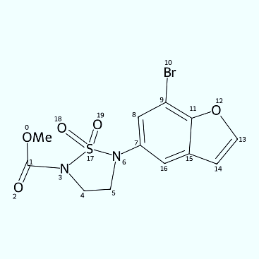 COC(=O)N1CCN(c2cc(Br)c3occc3c2)S1(=O)=O